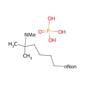 CCCCCCCCCCCCCC(C)(C)NC.O=P(O)(O)O